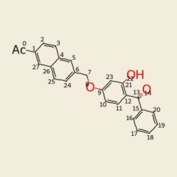 CC(=O)c1ccc2cc(COc3ccc(C(=O)c4ccccc4)c(O)c3)ccc2c1